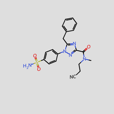 CN(CCC#N)C(=O)c1nc(Cc2ccccc2)n(-c2ccc(S(N)(=O)=O)cc2)n1